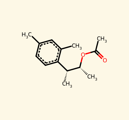 CC(=O)O[C@H](C)[C@H](C)c1ccc(C)cc1C